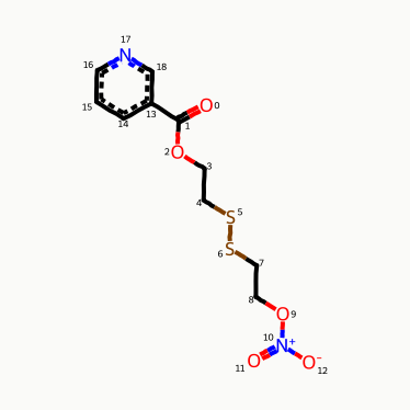 O=C(OCCSSCCO[N+](=O)[O-])c1cccnc1